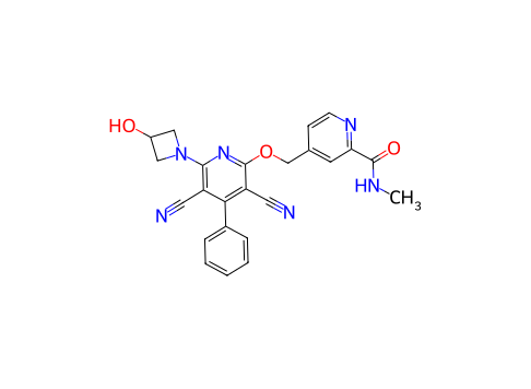 CNC(=O)c1cc(COc2nc(N3CC(O)C3)c(C#N)c(-c3ccccc3)c2C#N)ccn1